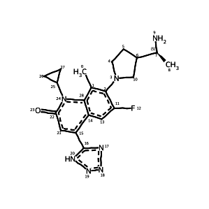 Cc1c(N2CCC([C@H](C)N)C2)c(F)cc2c(-c3nnn[nH]3)cc(=O)n(C3CC3)c12